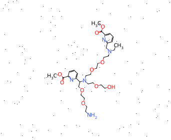 CCN(CCOCCOCCN(CCOCCO)C(COCCOCCN)c1cccc(C(=O)OC)n1)Cc1cccc(C(=O)OC)n1